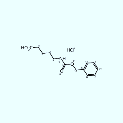 Cl.O=C(O)CCCCNC(=O)OCc1ccccc1